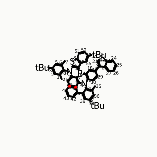 Cc1cc(C(C)(C)C)cc(C)c1N1c2cccc3c2B(c2cc(-c4csc5ccccc45)ccc2N3c2c(C)cc(C(C)(C)C)cc2-c2ccccc2)c2c1sc1ccc(C(C)(C)C)cc21